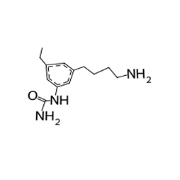 CCc1cc(CCCCN)cc(NC(N)=O)c1